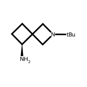 CC(C)(C)N1CC2(CC[C@@H]2N)C1